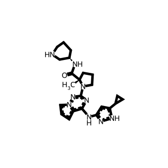 C[C@@]1(C(=O)N[C@H]2CCCNC2)CCCN1c1nc(Nc2cc(C3CC3)[nH]n2)c2cccn2n1